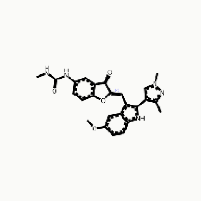 CNC(=O)Nc1ccc2c(c1)C(=O)/C(=C/c1c(-c3cn(C)nc3C)[nH]c3ccc(OC)cc13)O2